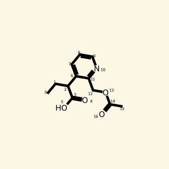 CCC(C(=O)O)c1cccnc1COC(C)=O